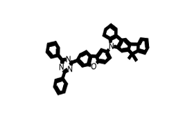 CC1(C)c2ccccc2-c2cc3c4c(n(-c5ccc6oc7cc(-c8nc(-c9ccccc9)nc(-c9ccccc9)n8)ccc7c6c5)c3cc21)CCC=C4